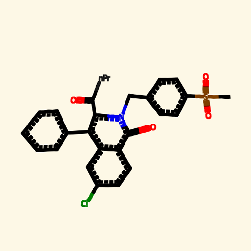 CCCC(=O)c1c(-c2ccccc2)c2cc(Cl)ccc2c(=O)n1Cc1ccc(S(C)(=O)=O)cc1